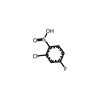 O=S(O)c1ccc(F)cc1Cl